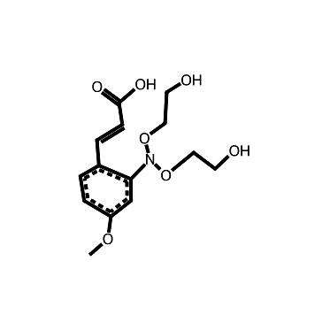 COc1ccc(C=CC(=O)O)c(N(OCCO)OCCO)c1